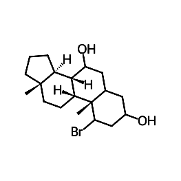 C[C@@]12CCC[C@H]1[C@@H]1C(O)CC3CC(O)CC(Br)[C@]3(C)[C@@H]1CC2